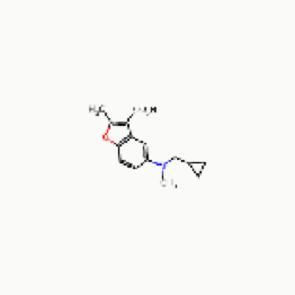 Cc1oc2ccc(N(C)CC3CC3)cc2c1C(=O)O